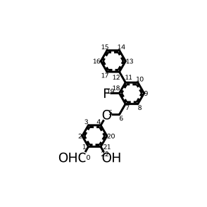 O=Cc1ccc(OCc2cccc(-c3ccccc3)c2F)cc1O